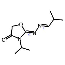 CC(C)/C=N/N=C1\OCC(=O)N1C(C)C